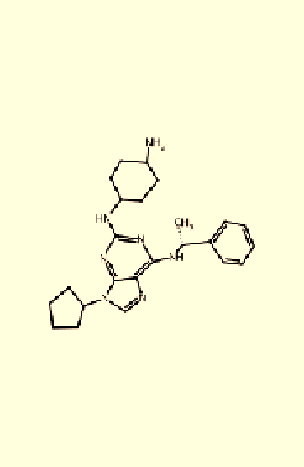 C[C@@H](Nc1nc(NC2CCC(N)CC2)nc2c1ncn2C1CCCC1)c1ccccc1